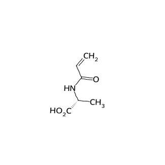 C=CC(=O)N[C@H](C)C(=O)O